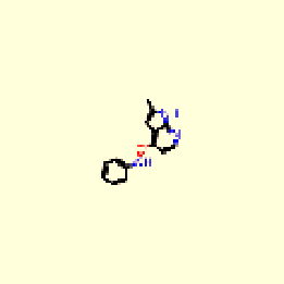 Cc1cc2c(ONc3ccccc3)ccnc2[nH]1